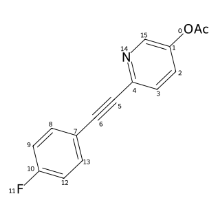 CC(=O)Oc1ccc(C#Cc2ccc(F)cc2)nc1